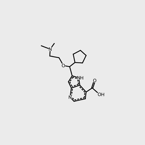 CN(C)CCOC(c1cc2nccc(C(=O)O)c2[nH]1)C1CCCC1